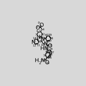 COC(=O)C[C@@H]1CCN(c2cccnc2)[C@@H](N2CCN(C(=O)NC3C4CC5CC3CC(C(N)=O)(C5)C4)c3ccccc32)C1